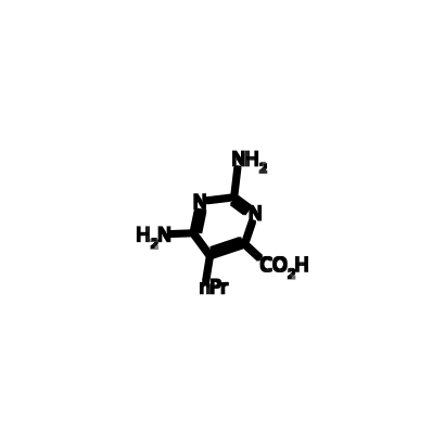 CCCc1c(N)nc(N)nc1C(=O)O